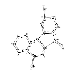 N#Cc1cc2c(c3ccccc13)-c1cc(Br)ccc1C2=O